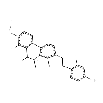 CCCc1ccc(CCc2ccc3c(c2F)C(F)C(F)c2c-3ccc(OCC)c2F)c(F)c1